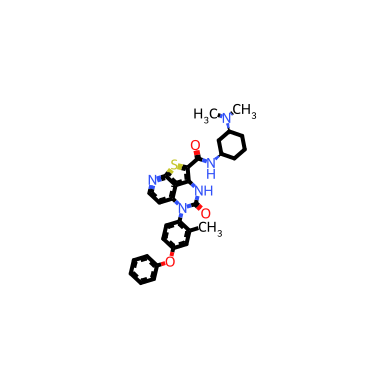 Cc1cc(Oc2ccccc2)ccc1N1C(=O)Nc2c(C(=O)N[C@@H]3CCC[C@H](N(C)C)C3)sc3nccc1c23